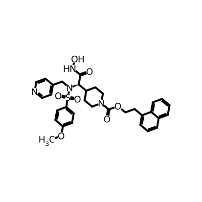 COc1ccc(S(=O)(=O)N(Cc2ccncc2)[C@@H](C(=O)NO)C2CCN(C(=O)OCCc3cccc4ccccc34)CC2)cc1